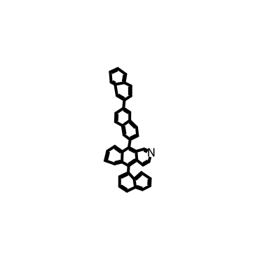 c1ccc2cc(-c3ccc4cc(-c5c6ccccc6c(-c6cccc7ccccc67)c6ccncc56)ccc4c3)ccc2c1